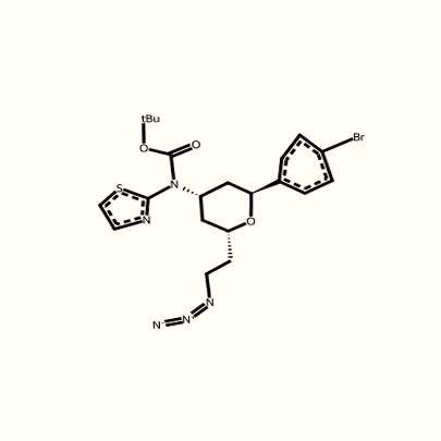 CC(C)(C)OC(=O)N(c1nccs1)[C@H]1C[C@@H](CCN=[N+]=[N-])O[C@H](c2ccc(Br)cc2)C1